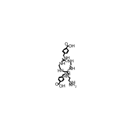 CC1(NCc2ccc(C(=O)O)cc2)CNCCNCC(CNCCNN)(NCc2ccc(C(=O)O)cc2)CNCCNC1